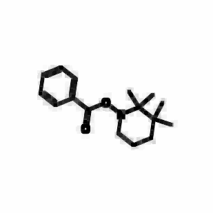 CC1(C)CCCN(OC(=O)c2ccccc2)C1(C)C